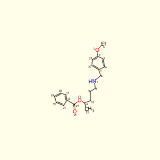 CCOc1ccc(CNCCCC(C)OC(=O)c2ccccc2)cc1